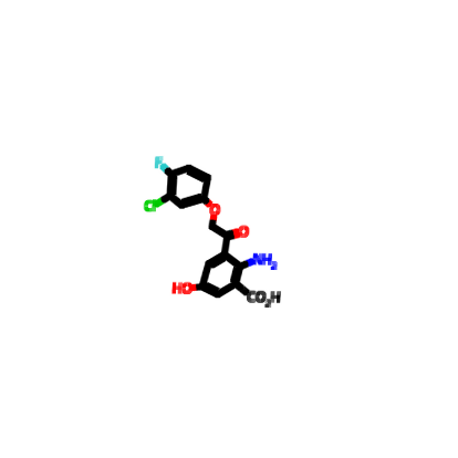 Nc1c(C(=O)O)cc(O)cc1C(=O)COc1ccc(F)c(Cl)c1